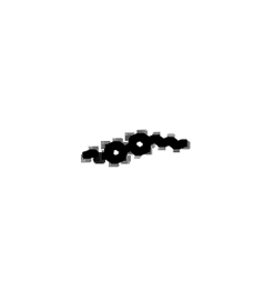 CCCCCC1CCC(C2CC=C(OCC)CC2)CC1